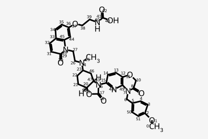 COc1ccc(CN2C(=O)COc3ccc(N4C(=O)O[C@@H]5CCC(N(C)CCn6c(=O)ccc7ccc(OCCNC(=O)O)cc76)C[C@H]54)nc32)cc1